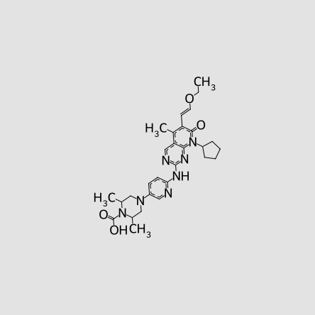 CCOC=Cc1c(C)c2cnc(Nc3ccc(N4CC(C)N(C(=O)O)C(C)C4)cn3)nc2n(C2CCCC2)c1=O